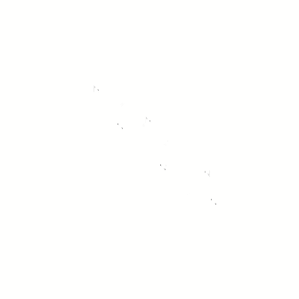 Cc1cc(-c2cc3cnc(NC(=O)CN(C)C)cc3n2C)ncn1